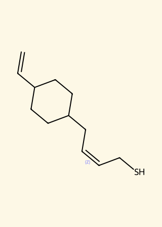 C=CC1CCC(C/C=C\CS)CC1